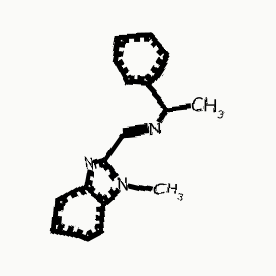 CC(/N=C/c1nc2ccccc2n1C)c1ccccc1